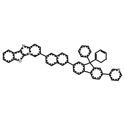 C1=CCCC(C2(c3ccccc3)c3cc(-c4cccnc4)ccc3-c3ccc(-c4ccc5cc(-c6ccc7nc8c9ccccc9oc8n7c6)ccc5c4)cc32)=C1